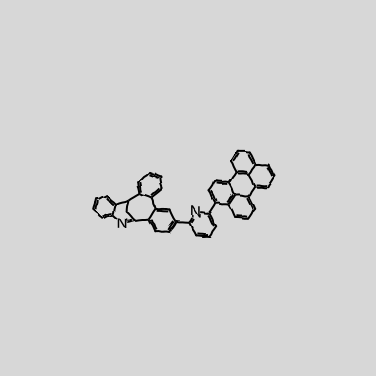 c1cc(-c2ccc3c(c2)-c2ccccc2C2CC3=Nc3ccccc32)nc(-c2ccc3c4cccc5cccc(c6cccc2c63)c54)c1